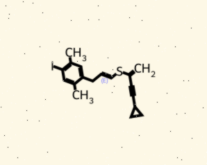 C=C(C#CC1CC1)S/C=C/Cc1cc(C)c(I)cc1C